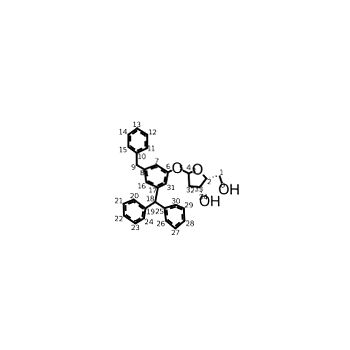 OC[C@H]1OC(Oc2cc(Cc3ccccc3)cc(C(c3ccccc3)c3ccccc3)c2)C[C@H]1O